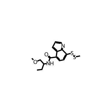 CCC(COC)NC(=O)c1ccc(SSC)c2ncccc12